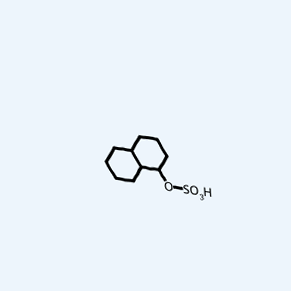 O=S(=O)(O)OC1CCCC2CCCCC21